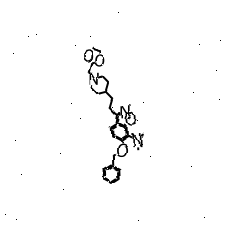 CN(C)c1c(OCc2ccccc2)ccc2c(CCC3CCN(CC4OCCO4)CC3)noc12